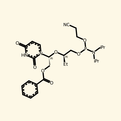 CC[C@H](COP(OCCC#N)N(C(C)C)C(C)C)O[C@H](COC(=O)c1ccccc1)n1ccc(=O)[nH]c1=O